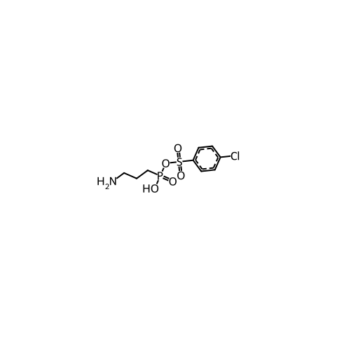 NCCCP(=O)(O)OS(=O)(=O)c1ccc(Cl)cc1